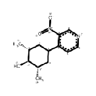 C[C@@H]1CC(c2ccncc2[N+](=O)[O-])C[C@H](C)[C@H]1O